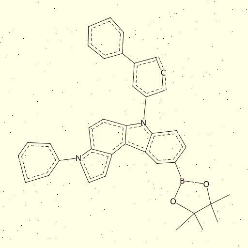 CC1(C)OB(c2ccc3c(c2)c2c4ccn(-c5ccccc5)c4ccc2n3-c2cccc(-c3ccccc3)c2)OC1(C)C